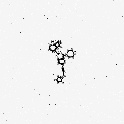 C(#Cc1cc2nc(-c3cccc4[nH]ncc34)nc(N3CCOCC3)c2s1)CN1CCCC1